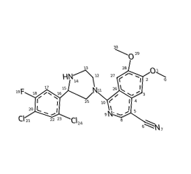 COc1cc2c(C#N)cnc(N3CCNC(c4cc(F)c(Cl)cc4Cl)C3)c2cc1OC